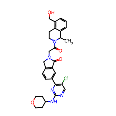 CC1c2cccc(CO)c2CCN1C(=O)CN1Cc2ccc(-c3nc(NC4CCOCC4)ncc3Cl)cc2C1=O